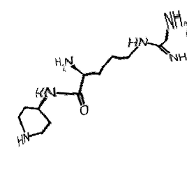 N=C(N)NCCC[C@H](N)C(=O)NC1CCNCC1